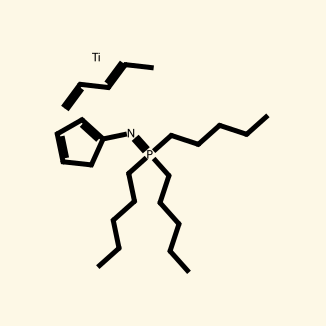 C=CC=CC.CCCCCP(CCCCC)(CCCCC)=NC1=CC=CC1.[Ti]